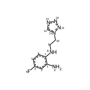 Nc1cc(F)ccc1NCCn1cnnn1